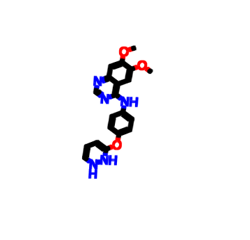 COc1cc2ncnc(Nc3ccc(OC4=CC=CNN4)cc3)c2cc1OC